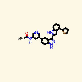 CCCC(=O)Nc1cncc(-c2ccc3[nH]nc(-c4cc5c(-c6cccs6)cccc5[nH]4)c3c2)c1